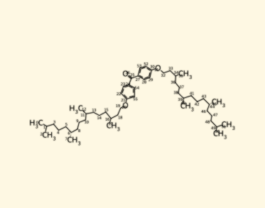 CC(C)CCC[C@@H](C)CCC[C@@H](C)CCCC(C)CCOc1ccc(C(=O)c2ccc(OCCC(C)CCC[C@H](C)CCC[C@H](C)CCCC(C)C)cc2)cc1